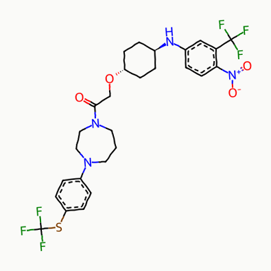 O=C(CO[C@H]1CC[C@H](Nc2ccc([N+](=O)[O-])c(C(F)(F)F)c2)CC1)N1CCCN(c2ccc(SC(F)(F)F)cc2)CC1